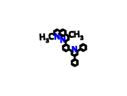 Cc1ccc2ccc3c(C)cc(-c4cccc(-c5cc(-c6ccccc6)cc(-c6ccccc6)n5)c4)nc3c2n1